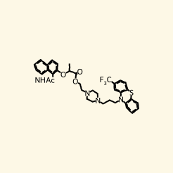 CC(=O)Nc1c(OC(C)C(=O)OCCN2CCN(CCCN3c4ccccc4Sc4ccc(C(F)(F)F)cc43)CC2)ccc2ccccc12